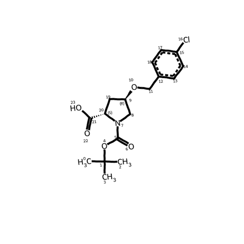 CC(C)(C)OC(=O)N1C[C@H](OCc2ccc(Cl)cc2)C[C@H]1C(=O)O